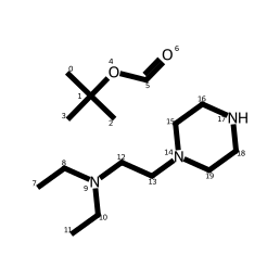 CC(C)(C)OC=O.CCN(CC)CCN1CCNCC1